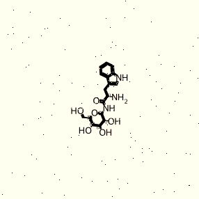 N[C@@H](Cc1c[nH]c2ccccc12)C(=O)N[C@@H]1O[C@H](CO)[C@@H](O)[C@H](O)[C@H]1O